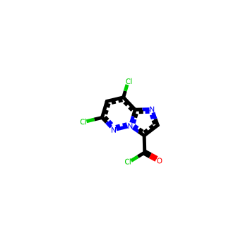 O=C(Cl)c1cnc2c(Cl)cc(Cl)nn12